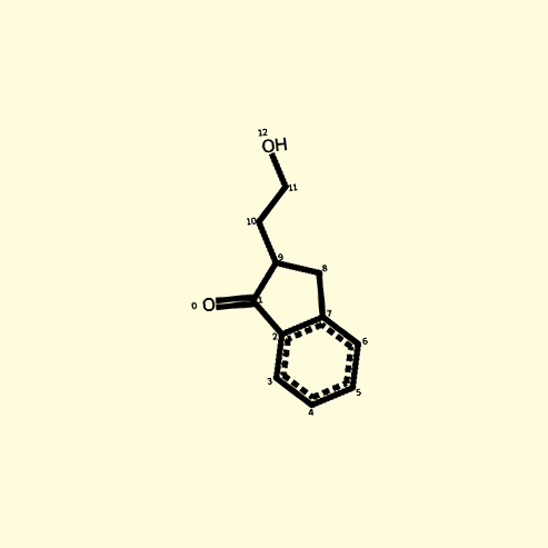 O=C1c2ccccc2CC1CCO